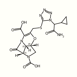 NC(=O)C(C1CC1)n1nnnc1SCC1=C(C(=O)O)N2C(=O)[C@@H]3[C@H]2[C@@H](CN3C(=O)O)O1